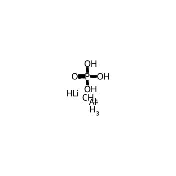 C.O=P(O)(O)O.[AlH3].[LiH]